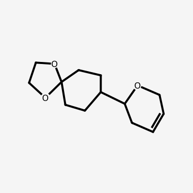 C1=CCC(C2CCC3(CC2)OCCO3)OC1